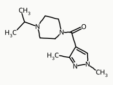 Cc1nn(C)cc1C(=O)N1CCN(C(C)C)CC1